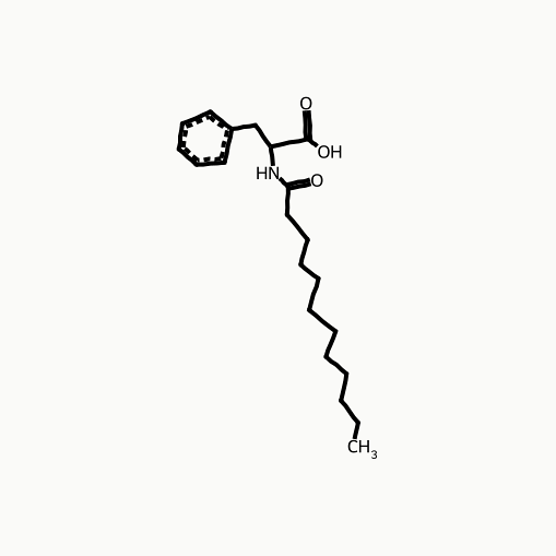 CCCCCCCCCCCC(=O)NC(Cc1ccccc1)C(=O)O